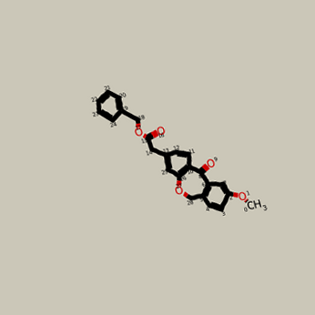 COc1ccc2c(c1)C(=O)c1ccc(CC(=O)OCc3ccccc3)cc1OC2